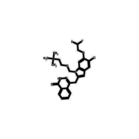 CS(C)(C)CCOCn1c(Cc2n[nH]c(=O)c3ccccc23)cc2cc(Cl)c(OCC(F)F)cc21